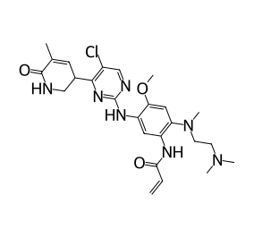 C=CC(=O)Nc1cc(Nc2ncc(Cl)c(C3C=C(C)C(=O)NC3)n2)c(OC)cc1N(C)CCN(C)C